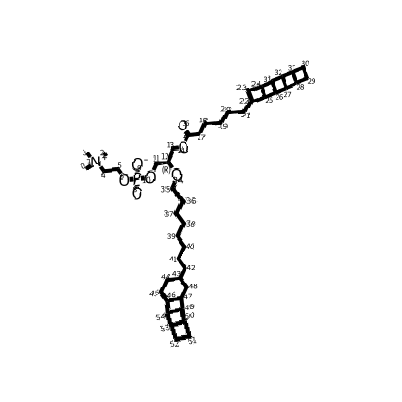 C[N+](C)(C)CCOP(=O)([O-])OC[C@@H](COC(=O)CCCCCC1CC2C1C1C3C4CCC4C3C21)OCCCCCCCCC1CCC2C(C1)C1C3CCC3C21